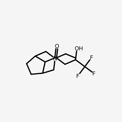 CCN1CC2CCC(C1)C2C(=O)CC(O)C(F)(F)F